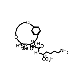 CC(C)(C)[C@H]1COCCCCOc2ccc(cc2)C[C@@H](NC(=O)N[C@@H](CCCCN)C(=O)O)C(=O)N1